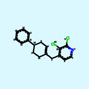 Clc1nccc(CC2=CCC(c3ccccc3)CC2)c1Cl